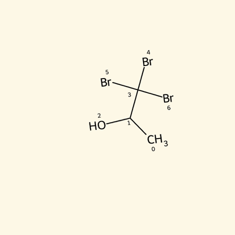 CC(O)C(Br)(Br)Br